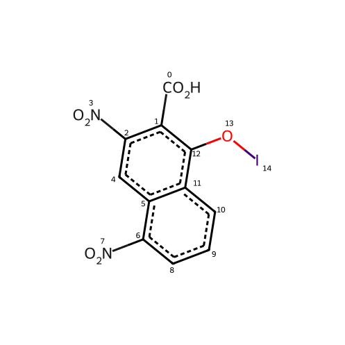 O=C(O)c1c([N+](=O)[O-])cc2c([N+](=O)[O-])cccc2c1OI